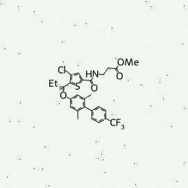 CC[C@@H](Oc1cc(C)c(-c2ccc(C(F)(F)F)cc2)c(C)c1)c1sc(C(=O)NCCC(=O)OC)cc1Cl